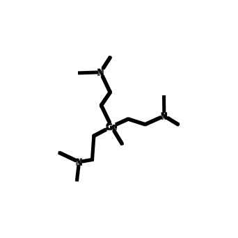 CN(C)C[CH2][Ge]([CH3])([CH2]CN(C)C)[CH2]CN(C)C